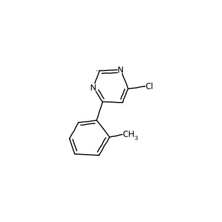 Cc1ccccc1-c1cc(Cl)n[c]n1